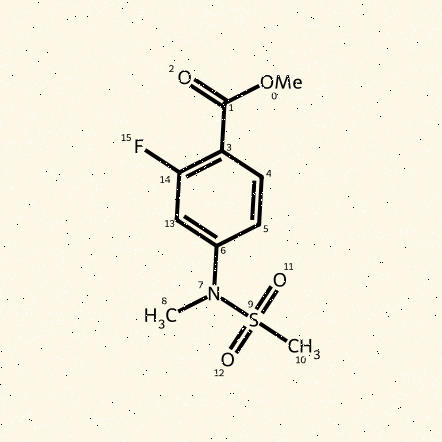 COC(=O)c1ccc(N(C)S(C)(=O)=O)cc1F